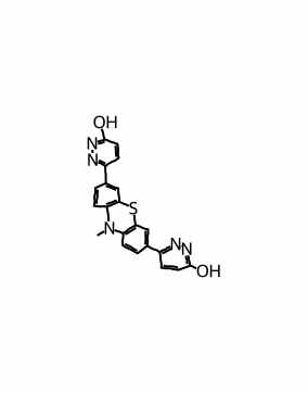 CN1c2ccc(-c3ccc(O)nn3)cc2Sc2cc(-c3ccc(O)nn3)ccc21